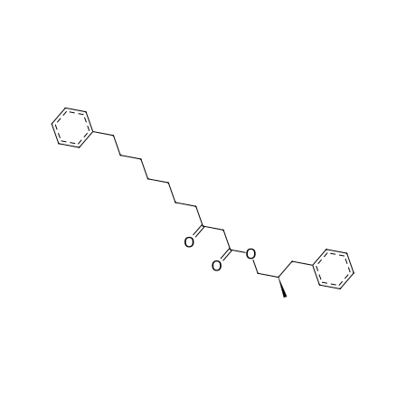 C[C@@H](COC(=O)CC(=O)CCCCCCCc1ccccc1)Cc1ccccc1